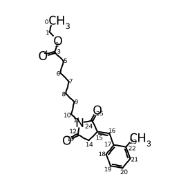 CCOC(=O)CCCCCCN1C(=O)CC(=Cc2ccccc2C)C1=O